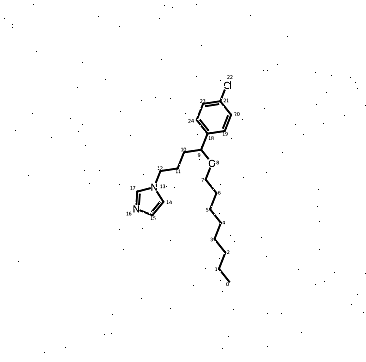 CCCCCCCCOC(CCCn1ccnc1)c1ccc(Cl)cc1